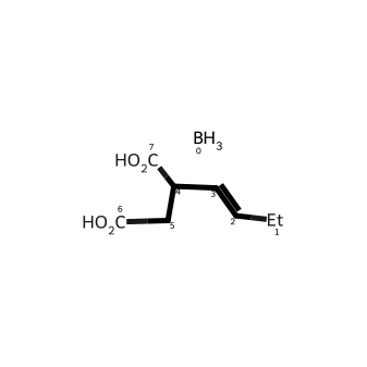 B.CCC=CC(CC(=O)O)C(=O)O